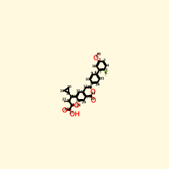 COc1ccc(F)c(-c2ccc([C@H]3Cc4cc([C@H](C5CC5)[C@H](C)C(=O)C(=O)O)ccc4C(=O)O3)cc2)c1